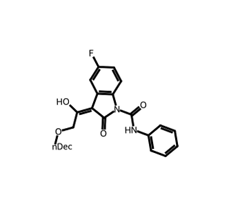 CCCCCCCCCCOCC(O)=C1C(=O)N(C(=O)Nc2ccccc2)c2ccc(F)cc21